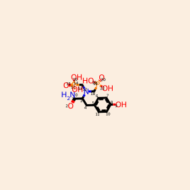 NC(=O)C(Cc1ccc(O)cc1)N(CP(=O)(O)O)CP(=O)(O)O